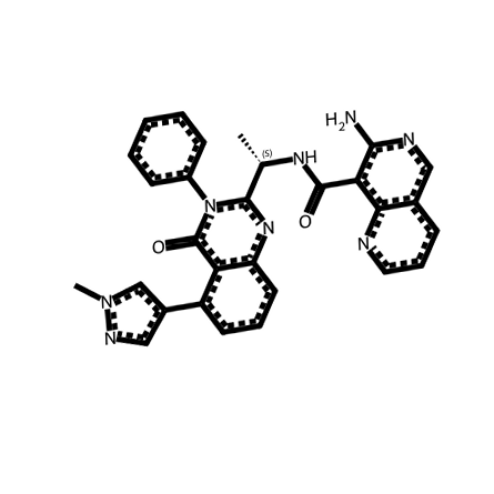 C[C@H](NC(=O)c1c(N)ncc2cccnc12)c1nc2cccc(-c3cnn(C)c3)c2c(=O)n1-c1ccccc1